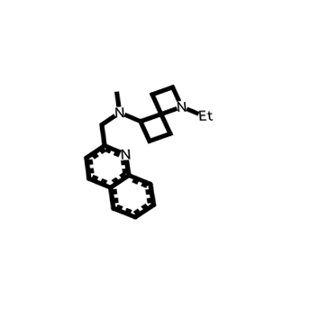 CCN1CCC12CCC2N(C)Cc1ccc2ccccc2n1